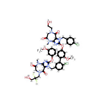 CN1C(=O)CN(CCO)C(=O)c2c1nc(Oc1ccc(-c3cc(Cn4c(Oc5cccc(OC(F)(F)F)c5)nc5c4C(=O)N(CC(F)(F)CO)CC(=O)N5C)ccc3Cl)c(OC(F)(F)F)c1)n2Cc1ccc(Cl)cc1